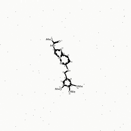 COC(=O)Nc1cn2nc(SCc3cc(OC)c(OC)c(OC)c3)ccc2n1